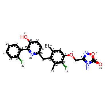 CCc1cc(OCc2noc(=O)[nH]2)c(F)c(C)c1Cc1ccc(O)c(-c2ccccc2F)n1